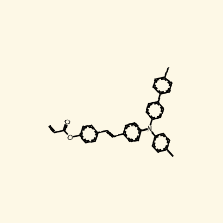 C=CC(=O)Oc1ccc(C=Cc2ccc(N(c3ccc(C)cc3)c3ccc(-c4ccc(C)cc4)cc3)cc2)cc1